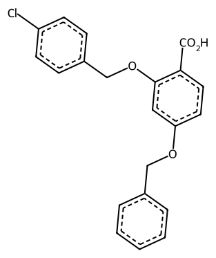 O=C(O)c1ccc(OCc2ccccc2)cc1OCc1ccc(Cl)cc1